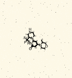 CC1COCCN1c1cc(N2CCNCC2C(F)(F)F)[nH]c(=O)c1